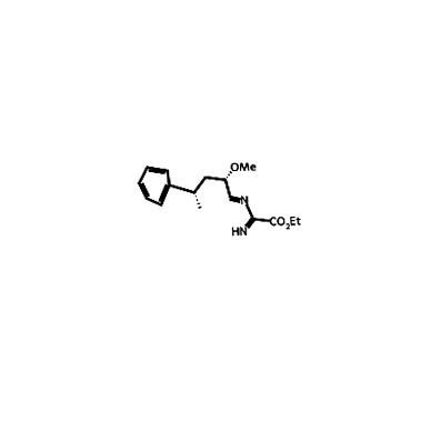 CCOC(=O)C(=N)/N=C/[C@H](C[C@H](C)c1ccccc1)OC